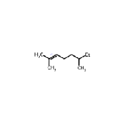 [CH2]/C(C)=C/CCC(C)CC